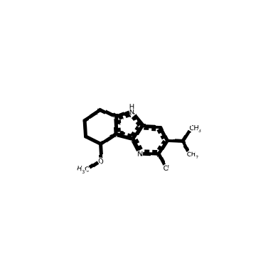 COC1CCCc2[nH]c3cc(C(C)C)c(Cl)nc3c21